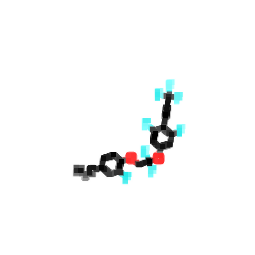 Cc1ccc(OCC(F)(F)Oc2cc(F)c(C#CC(F)(F)F)c(F)c2)c(F)c1